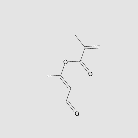 C=C(C)C(=O)OC(C)=CC=O